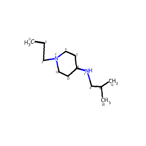 CCCN1CCC(NCC(C)C)CC1